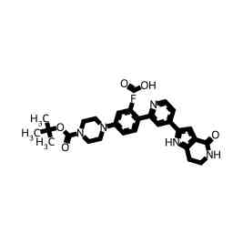 CC(C)(C)OC(=O)N1CCN(c2ccc(-c3cc(-c4cc5c([nH]4)CCNC5=O)ccn3)c(F)c2)CC1.O=CO